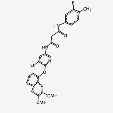 CCc1cc(NC(=O)CC(=O)Nc2ccc(C)c(F)c2)cnc1Oc1ccnc2cc(OC)c(OC)cc12